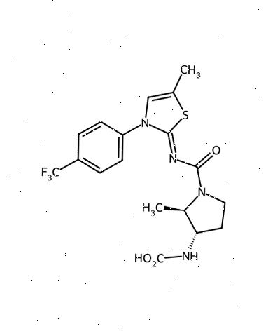 Cc1cn(-c2ccc(C(F)(F)F)cc2)/c(=N/C(=O)N2CC[C@H](NC(=O)O)[C@H]2C)s1